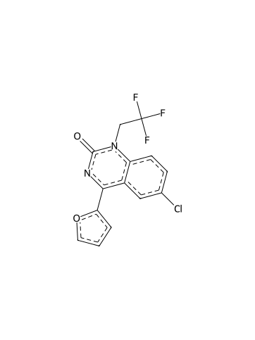 O=c1nc(-c2ccco2)c2cc(Cl)ccc2n1CC(F)(F)F